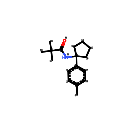 Cc1ccc(C2(NC(=O)C(C)(C)C)CCCC2)cc1